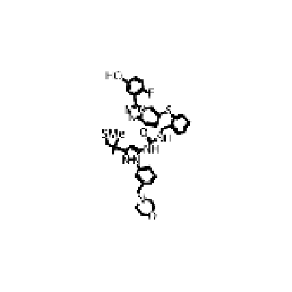 CSCC(C)(C)c1cc(NC(=O)NCc2ccccc2Sc2ccc3nnc(-c4cc(O)ccc4F)n3c2)n(-c2cccc(CN3CCOCC3)c2)n1